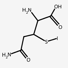 NC(=O)CC(SI)C(N)C(=O)O